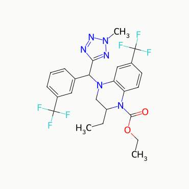 CCOC(=O)N1c2ccc(C(F)(F)F)cc2N(C(c2cccc(C(F)(F)F)c2)c2nnn(C)n2)CC1CC